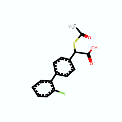 CC(=O)SC(C(=O)O)c1ccc(-c2ccccc2F)cc1